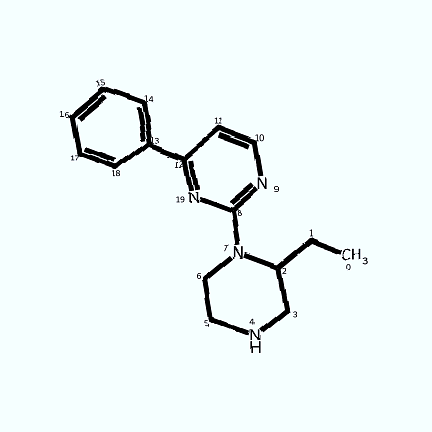 CCC1CNCCN1c1nccc(-c2ccccc2)n1